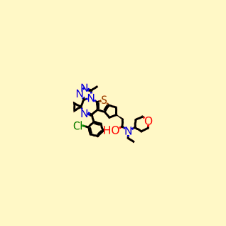 CCN(C(O)C[C@@H]1Cc2sc3c(c2C1)C(c1ccccc1Cl)=NC1(CC1)c1nnc(C)n1-3)C1CCOCC1